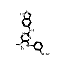 CC(=O)Nc1cccc(Nc2nc(Nc3ccc4[nH]ncc4c3)ncc2[S+](C)[O-])c1